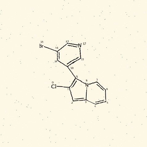 Clc1cc2ccccn2c1-c1cncc(Br)c1